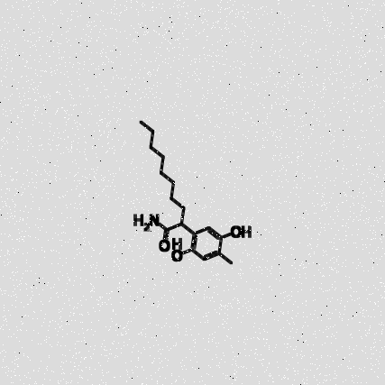 CCCCCCCCC(C(N)=O)c1cc(O)c(C)cc1O